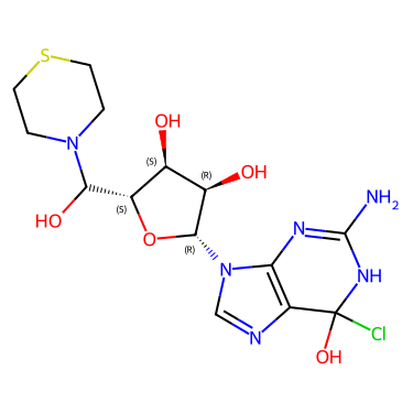 NC1=Nc2c(ncn2[C@@H]2O[C@H](C(O)N3CCSCC3)[C@@H](O)[C@H]2O)C(O)(Cl)N1